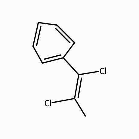 CC(Cl)=C(Cl)c1ccccc1